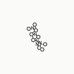 c1ccc(-c2nc(-n3c4cccc5c6cccc7c8c9c(ccc8n(c8cccc3c8c54)c67)c3ccccc3n9-c3ccccc3)nc3ccc4ccccc4c23)cc1